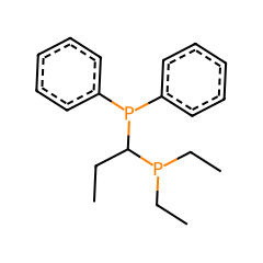 CCC(P(CC)CC)P(c1ccccc1)c1ccccc1